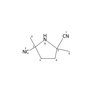 CC1(C#N)CCC(C)(C#N)N1